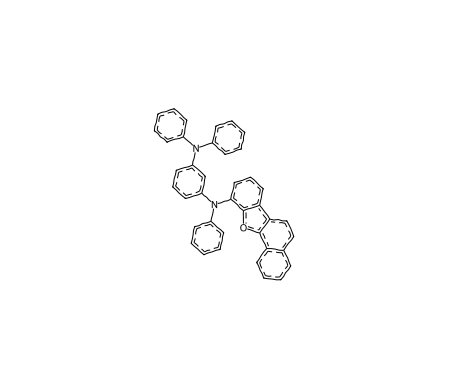 c1ccc(N(c2ccccc2)c2cccc(N(c3ccccc3)c3cccc4c3oc3c5ccccc5ccc43)c2)cc1